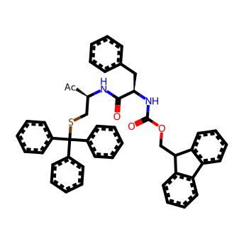 CC(=O)[C@H](CSC(c1ccccc1)(c1ccccc1)c1ccccc1)NC(=O)[C@@H](Cc1ccccc1)NC(=O)OCC1c2ccccc2-c2ccccc21